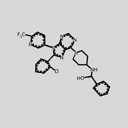 OC(NC1CCN(c2ncnc3c2nc(-c2ccccc2Cl)n3-c2ccc(C(F)(F)F)nc2)CC1)c1ccccc1